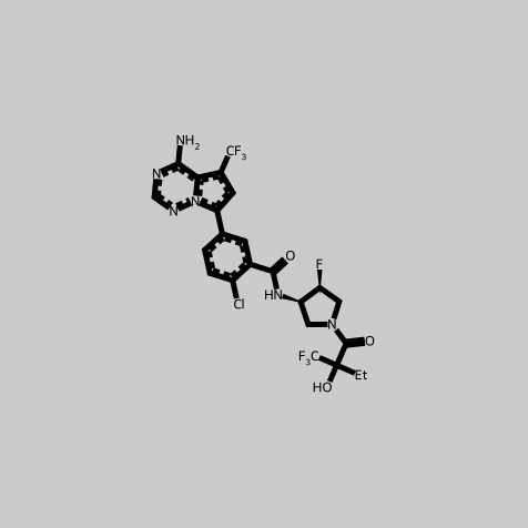 CCC(O)(C(=O)N1C[C@H](F)[C@H](NC(=O)c2cc(-c3cc(C(F)(F)F)c4c(N)ncnn34)ccc2Cl)C1)C(F)(F)F